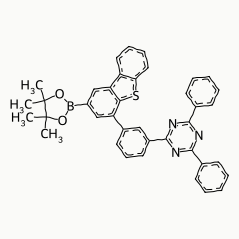 CC1(C)OB(c2cc(-c3cccc(-c4nc(-c5ccccc5)nc(-c5ccccc5)n4)c3)c3sc4ccccc4c3c2)OC1(C)C